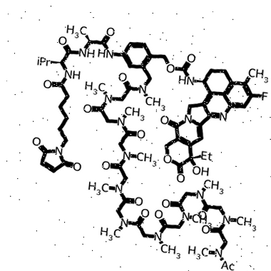 CC[C@@]1(O)C(=O)OCc2c1cc1n(c2=O)Cc2c-1nc1cc(F)c(C)c3c1c2[C@@H](NC(=O)OCc1ccc(NC(=O)[C@H](C)NC(=O)[C@@H](NC(=O)CCCCCN2C(=O)C=CC2=O)C(C)C)cc1CN(C)C(=O)CN(C)C(=O)CN(C)C(=O)CN(C)C(=O)CN(C)C(=O)CN(C)C(=O)CN(C)C(=O)CN(C)C(=O)CN(C)C(=O)CN(C)C(=O)CN(C)C(C)=O)CC3